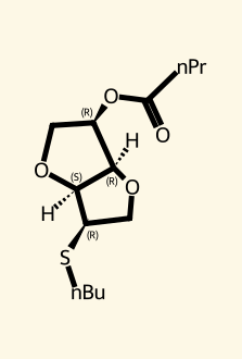 CCCCS[C@@H]1CO[C@H]2[C@@H]1OC[C@H]2OC(=O)CCC